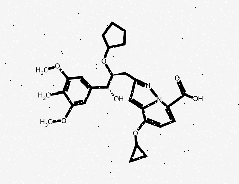 COc1cc([C@@H](O)[C@H](Cc2cc3c(OC4CC4)ccc(C(=O)O)n3n2)OC2CCCC2)cc(OC)c1C